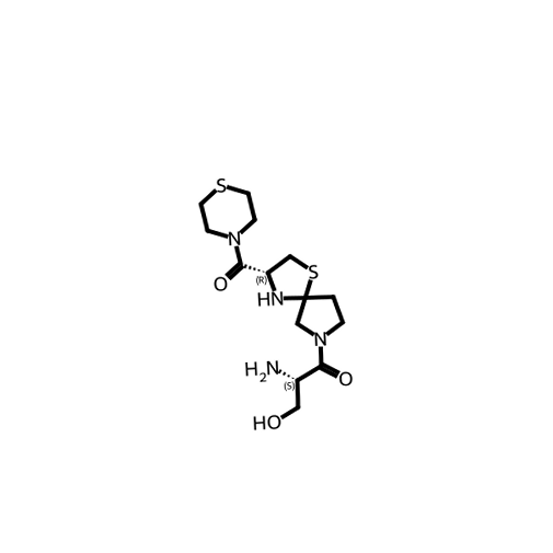 N[C@@H](CO)C(=O)N1CCC2(C1)N[C@H](C(=O)N1CCSCC1)CS2